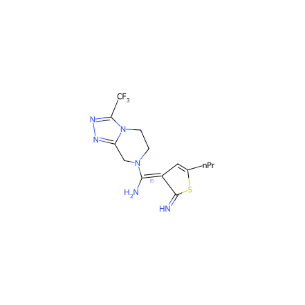 CCCC1=C/C(=C(/N)N2CCn3c(nnc3C(F)(F)F)C2)C(=N)S1